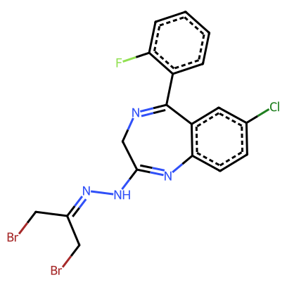 Fc1ccccc1C1=NCC(NN=C(CBr)CBr)=Nc2ccc(Cl)cc21